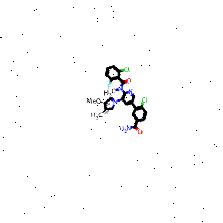 CO[C@@H]1CN(c2cc(-c3cc(C(N)=O)ccc3Cl)cnc2N(C)C(=O)c2c(F)cccc2Cl)C[C@H]1C